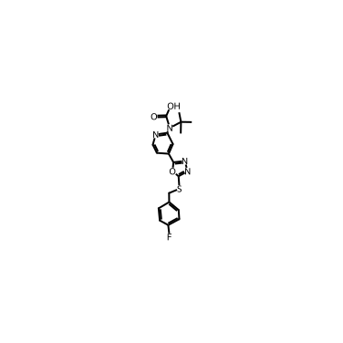 CC(C)(C)N(C(=O)O)c1cc(-c2nnc(SCc3ccc(F)cc3)o2)ccn1